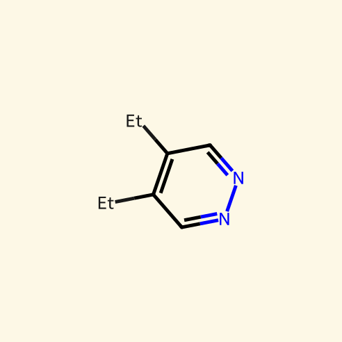 CCc1cnncc1CC